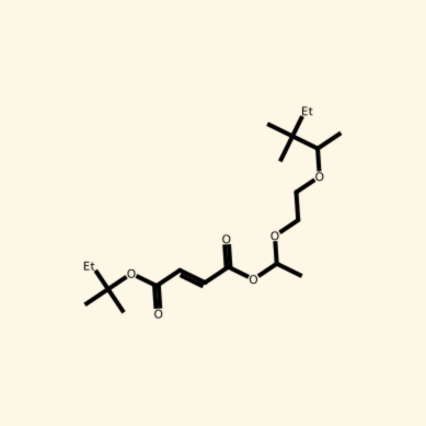 CCC(C)(C)OC(=O)/C=C/C(=O)OC(C)OCCOC(C)C(C)(C)CC